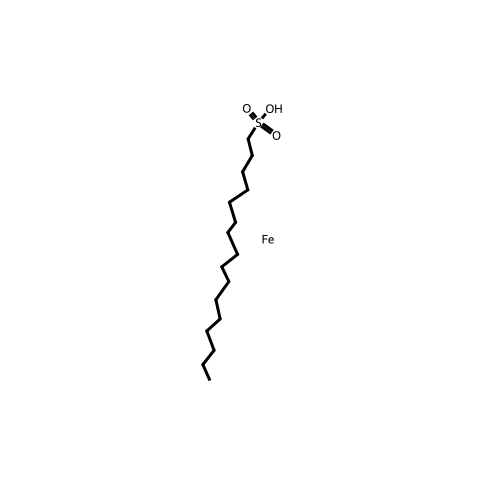 CCCCCCCCCCCCCCCCS(=O)(=O)O.[Fe]